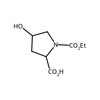 CCOC(=O)N1CC(O)CC1C(=O)O